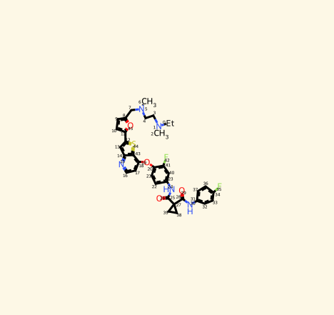 CCN(C)CCN(C)Cc1ccc(-c2cc3nccc(Oc4ccc(NC(=O)C5(C(=O)Nc6ccc(F)cc6)CC5)cc4F)c3s2)o1